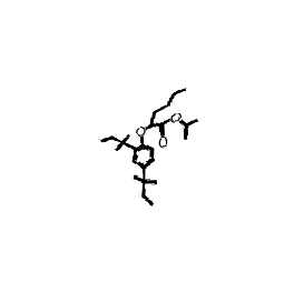 CCCCC(Oc1ccc(C(C)(C)CC)cc1C(C)(C)CC)C(=O)OC(C)C